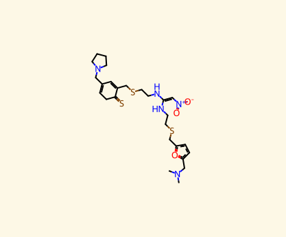 CN(C)Cc1ccc(CSCCNC(=C[N+](=O)[O-])NCCSCC2=CC(CN3CCCC3)=CCC2=S)o1